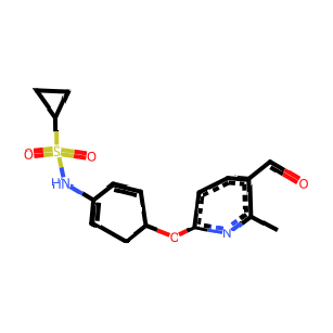 Cc1nc(OC2C=CC(NS(=O)(=O)C3CC3)=CC2)ccc1C=O